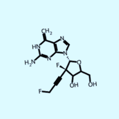 C=C1NC(N)=Nc2c1ncn2[C@@H]1OC(CO)C(O)[C@]1(F)C#CCF